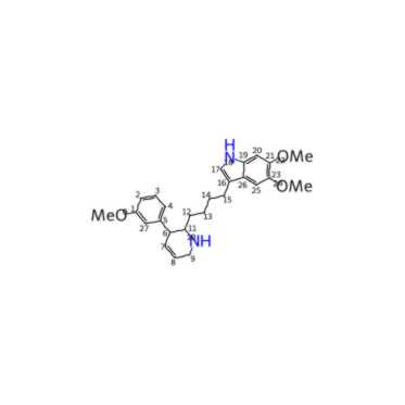 COc1cccc(C2C=CCNC2CCCCc2c[nH]c3cc(OC)c(OC)cc23)c1